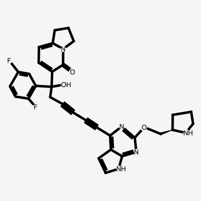 O=c1c(C(O)(CC#CC#Cc2nc(OC[C@H]3CCCN3)nc3[nH]ccc23)c2cc(F)ccc2F)ccc2n1CCC2